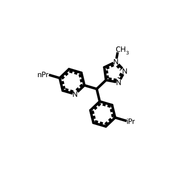 CCCc1ccc(C(c2cccc(C(C)C)c2)c2cn(C)nn2)nc1